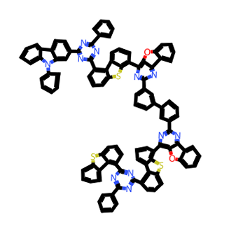 c1ccc(-c2nc(-c3ccc4c5ccccc5n(-c5ccccc5)c4c3)nc(-c3cccc4sc5c(-c6nc(-c7cccc(-c8cccc(-c9nc(-c%10cccc%11c%10sc%10cccc(-c%12nc(-c%13ccccc%13)nc(-c%13cccc%14sc%15ccccc%15c%13%14)n%12)c%10%11)c%10oc%11ccccc%11c%10n9)c8)c7)nc7c6oc6ccccc67)cccc5c34)n2)cc1